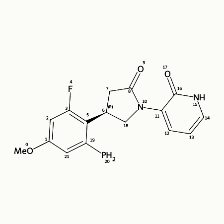 COc1cc(F)c([C@H]2CC(=O)N(c3ccc[nH]c3=O)C2)c(P)c1